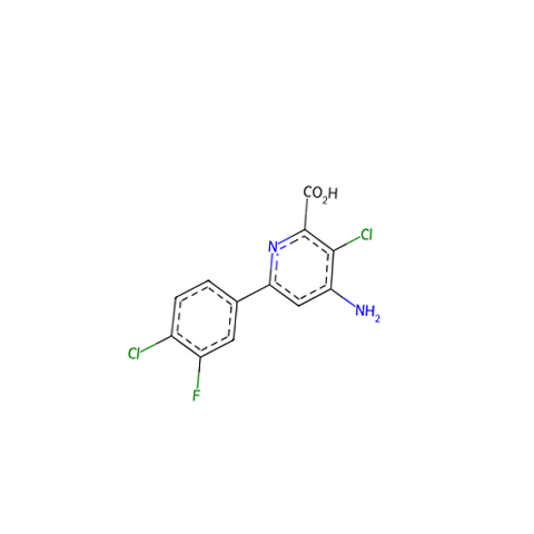 Nc1cc(-c2ccc(Cl)c(F)c2)nc(C(=O)O)c1Cl